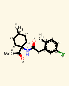 COC(=O)C1(NC(=O)Cc2cc(Br)ccc2C)CCC(C)CC1